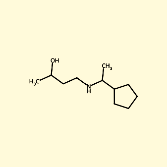 CC(O)CCNC(C)C1CCCC1